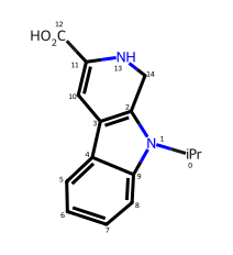 CC(C)n1c2c(c3ccccc31)C=C(C(=O)O)NC2